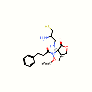 CCCCCON(C(=O)CCc1ccccc1)[C@@]1(NCC(N)CS)C(=O)OC[C@H]1C